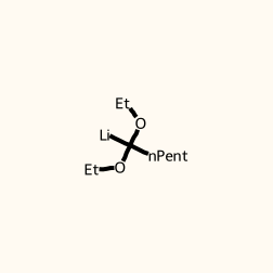 [Li][C](CCCCC)(OCC)OCC